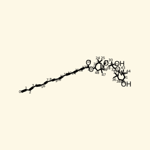 C#CC#CC#CC#CC#CC#CC#CC#CC#CC(=O)OC1CC(C)(C)N(OCC(C)(O)CON2C(C)(C)CC(O)CC2(C)C)C(C)(C)C1